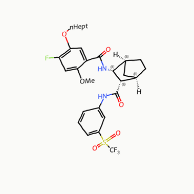 CCCCCCCOc1cc(C(=O)N[C@@H]2[C@H]3CC[C@H](C3)[C@@H]2C(=O)Nc2cccc(S(=O)(=O)C(F)(F)F)c2)c(OC)cc1F